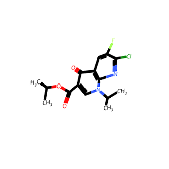 CC(C)OC(=O)c1cn(C(C)C)c2nc(Cl)c(F)cc2c1=O